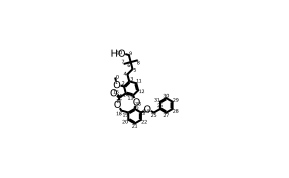 COc1c(CCC(C)(C)CO)ccc2c1C(=O)OCc1cccc(OCc3ccccc3)c1O2